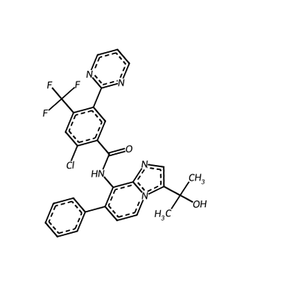 CC(C)(O)c1cnc2c(NC(=O)c3cc(-c4ncccn4)c(C(F)(F)F)cc3Cl)c(-c3ccccc3)ccn12